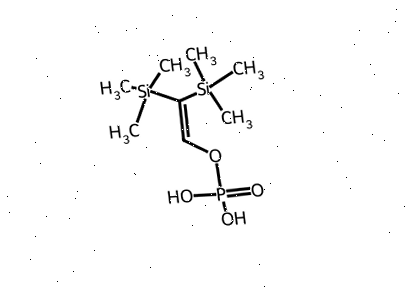 C[Si](C)(C)C(=COP(=O)(O)O)[Si](C)(C)C